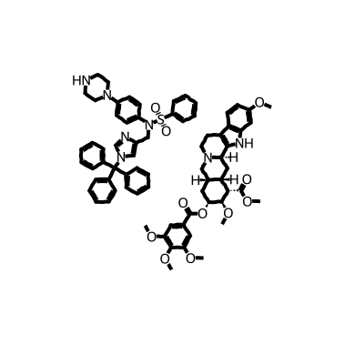 COC(=O)[C@H]1[C@H]2C[C@@H]3c4[nH]c5cc(OC)ccc5c4CCN3C[C@H]2C[C@@H](OC(=O)c2cc(OC)c(OC)c(OC)c2)[C@@H]1OC.O=S(=O)(c1ccccc1)N(Cc1cn(C(c2ccccc2)(c2ccccc2)c2ccccc2)cn1)c1ccc(N2CCNCC2)cc1